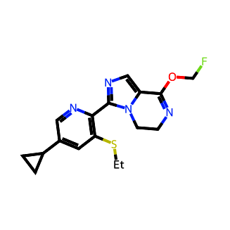 CCSc1cc(C2CC2)cnc1-c1ncc2n1CCN=C2OCF